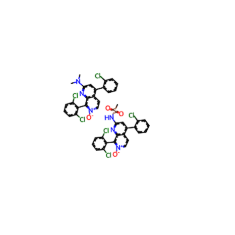 CN(C)c1cc(-c2ccccc2Cl)c2cc[n+]([O-])c(-c3c(Cl)cccc3Cl)c2n1.CS(=O)(=O)Nc1cc(-c2ccccc2Cl)c2cc[n+]([O-])c(-c3c(Cl)cccc3Cl)c2n1